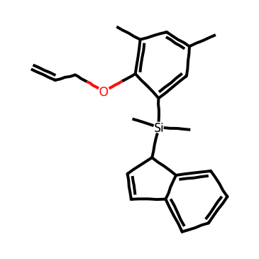 C=CCOc1c(C)cc(C)cc1[Si](C)(C)C1C=Cc2ccccc21